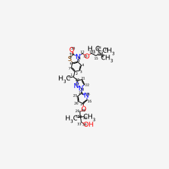 CC(c1ccc2c(c1)sc(=O)n2COCC[Si](C)(C)C)c1ccn(-c2ccc(OCC(C)(C)CO)cn2)n1